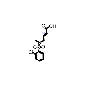 CN(C/C=C/C(=O)O)S(=O)(=O)c1ccccc1Cl